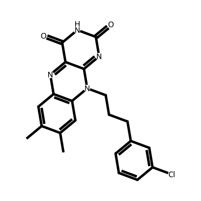 Cc1cc2nc3c(=O)[nH]c(=O)nc-3n(CCCc3cccc(Cl)c3)c2cc1C